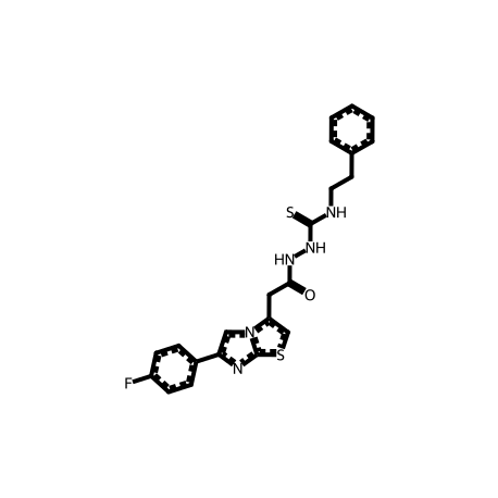 O=C(Cc1csc2nc(-c3ccc(F)cc3)cn12)NNC(=S)NCCc1ccccc1